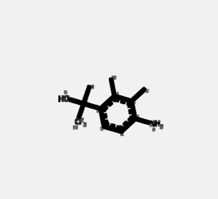 Cc1c(N)ccc(C(C)(O)C(F)(F)F)c1C